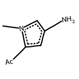 CC(=O)c1cc(N)cn1C